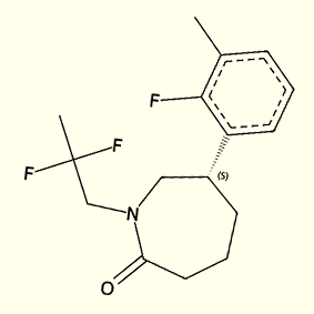 Cc1cccc([C@@H]2CCCC(=O)N(CC(C)(F)F)C2)c1F